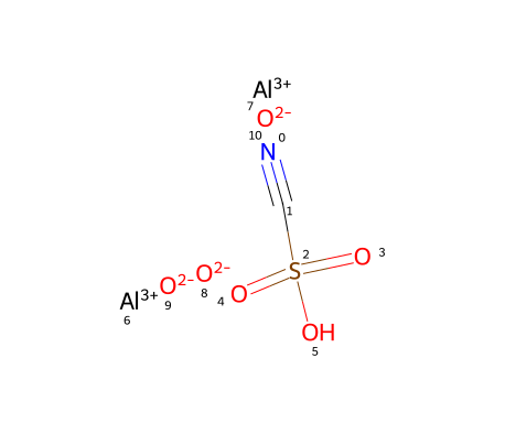 N#CS(=O)(=O)O.[Al+3].[Al+3].[O-2].[O-2].[O-2]